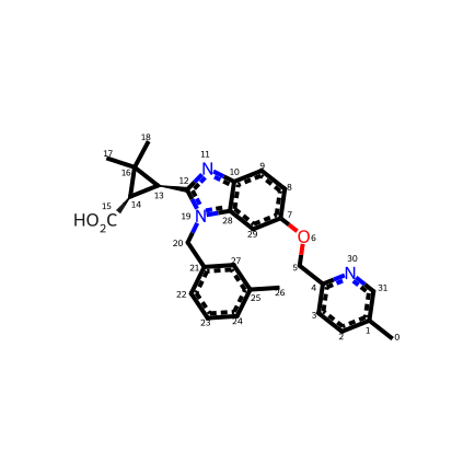 Cc1ccc(COc2ccc3nc([C@H]4[C@@H](C(=O)O)C4(C)C)n(Cc4cccc(C)c4)c3c2)nc1